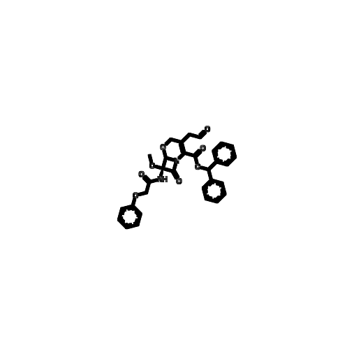 CO[C@@]1(NC(=O)COc2ccccc2)C(=O)N2C(C(=O)OC(c3ccccc3)c3ccccc3)=C(CC=O)COC21